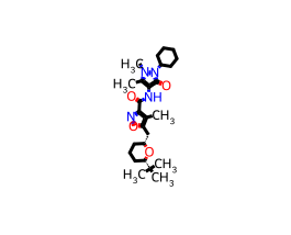 Cc1c(C(=O)Nc2c(C)n(C)n(C3CCCCC3)c2=O)noc1C[C@H]1CCC[C@@H](C(C)(C)C)O1